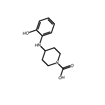 O=C(O)N1CCC(Nc2ccccc2O)CC1